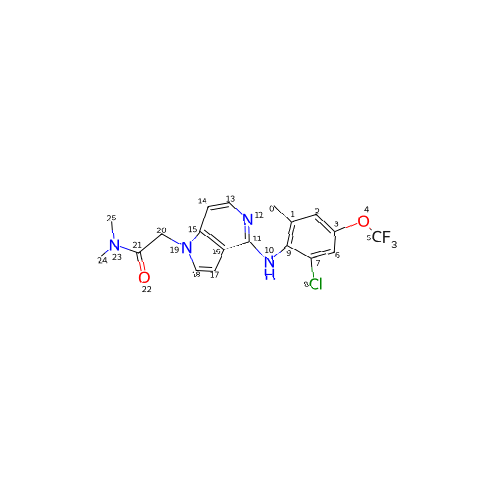 Cc1cc(OC(F)(F)F)cc(Cl)c1Nc1nccc2c1ccn2CC(=O)N(C)C